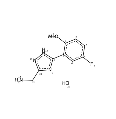 COc1ccc(F)cc1-c1nc(CN)n[nH]1.Cl